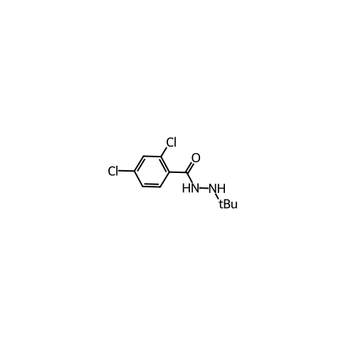 CC(C)(C)NNC(=O)c1ccc(Cl)cc1Cl